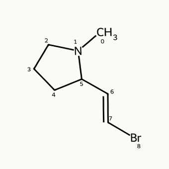 CN1CCCC1/C=C/Br